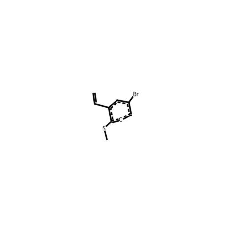 C=Cc1cc(Br)ccc1SC